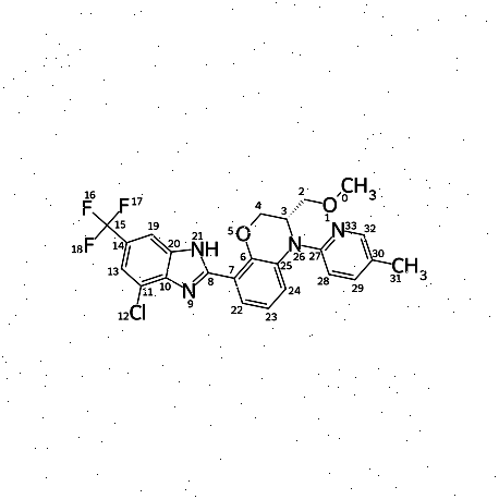 COC[C@H]1COc2c(-c3nc4c(Cl)cc(C(F)(F)F)cc4[nH]3)cccc2N1c1ccc(C)cn1